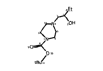 CCC(O)CN1CCN(C(=O)OC(C)(C)C)CC1